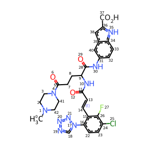 CN1CCN(C(=O)CCC(NC(=O)/C=C/c2c(-n3cnnn3)ccc(Cl)c2F)C(=O)Nc2ccc3[nH]c(C(=O)O)cc3c2)CC1